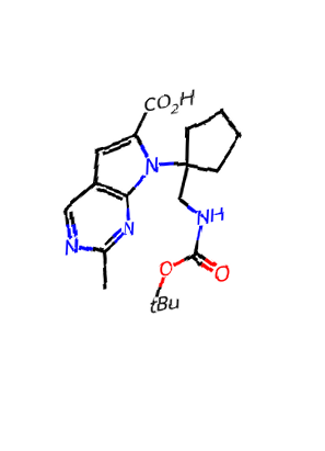 Cc1ncc2cc(C(=O)O)n(C3(CNC(=O)OC(C)(C)C)CCCC3)c2n1